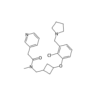 CN(CC1CC(Oc2cccc(CN3CCCC3)c2Cl)C1)C(=O)Cc1cccnc1